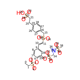 CCS(=O)(=O)Oc1ccc(/C=C/S(=O)(=O)Cc2ccc(CCS(=O)(=O)O)cc2)cc1OS(=O)(=O)CN(C)S(C)(=O)=O